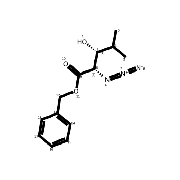 CC(C)[C@@H](O)[C@H](N=[N+]=[N-])C(=O)OCc1ccccc1